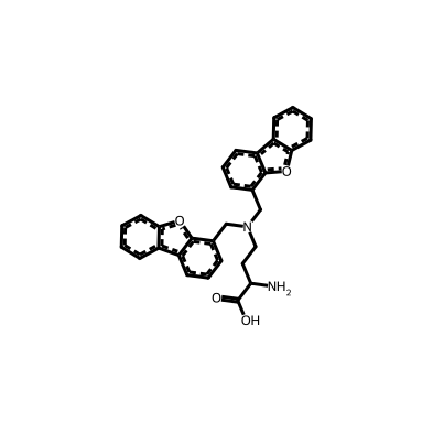 NC(CCN(Cc1cccc2c1oc1ccccc12)Cc1cccc2c1oc1ccccc12)C(=O)O